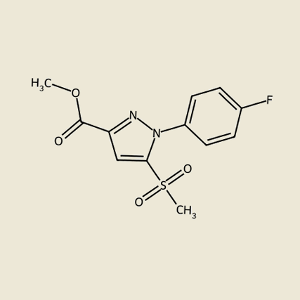 COC(=O)c1cc(S(C)(=O)=O)n(-c2ccc(F)cc2)n1